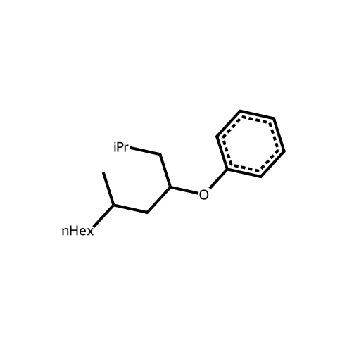 CCCCCCC(C)CC(CC(C)C)Oc1ccccc1